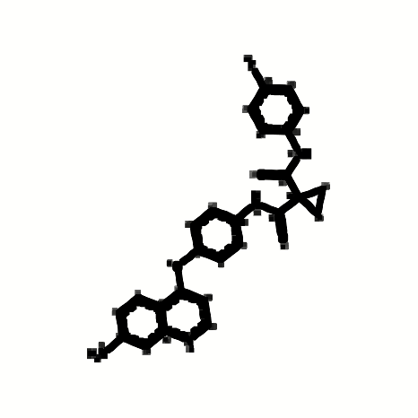 Nc1ccc2c(Oc3ccc(NC(=O)C4(C(=O)Nc5ccc(F)cc5)CC4)cc3)ccnc2c1